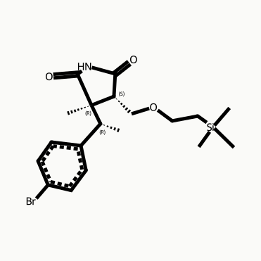 C[C@H](c1ccc(Br)cc1)[C@@]1(C)C(=O)NC(=O)[C@@H]1COCC[Si](C)(C)C